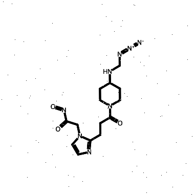 [N-]=[N+]=NCNC1CCN(C(=O)CCc2nccn2CC(=O)N=O)CC1